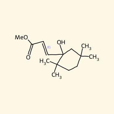 COC(=O)/C=C/C1(O)CC(C)(C)CCC1(C)C